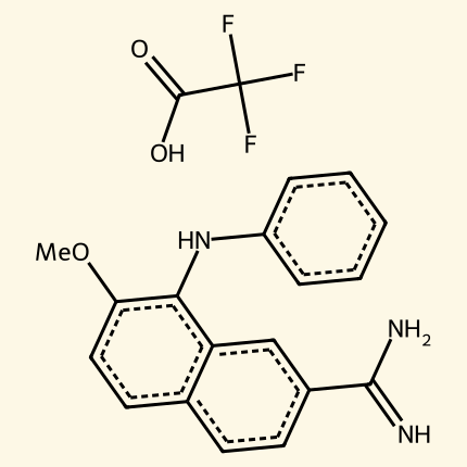 COc1ccc2ccc(C(=N)N)cc2c1Nc1ccccc1.O=C(O)C(F)(F)F